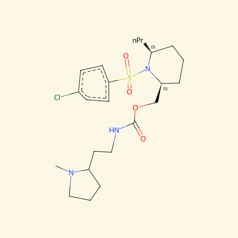 CCC[C@H]1CCC[C@@H](COC(=O)NCCC2CCCN2C)N1S(=O)(=O)c1ccc(Cl)cc1